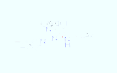 CC(=O)COCCNC(=O)CN(CCN(CC(=O)O)CC(=O)O)CCN(CC(=O)O)CC(=O)O